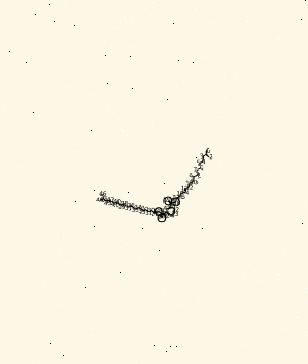 CC(C)CCCCCCCCCCCCCCCOC(=O)c1cccc(C(=O)OCCCCCCCCCCCCCCCC(C)C)c1